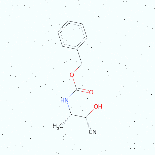 C[C@H](NC(=O)OCc1ccccc1)[C@H](O)C#N